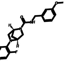 COc1cccc(CNC(=O)N2C[C@@H]3C[C@H]2CN3c2ccncc2F)c1